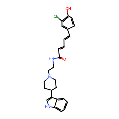 O=C(C=CC=Cc1ccc(O)c(Cl)c1)NCCN1CCC(c2c[nH]c3ccccc23)CC1